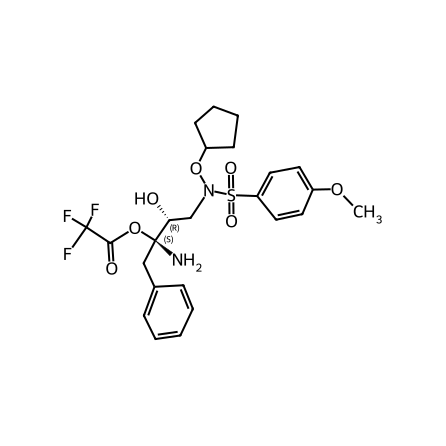 COc1ccc(S(=O)(=O)N(C[C@@H](O)[C@](N)(Cc2ccccc2)OC(=O)C(F)(F)F)OC2CCCC2)cc1